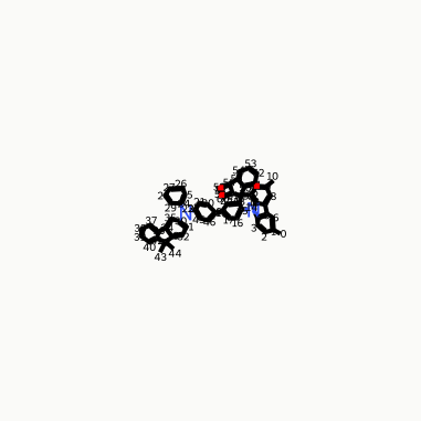 Cc1ccc2c(c1)c1cc(C)cc3c1n2-c1ccc(-c2ccc(N(c4ccccc4)c4ccc5c(c4)-c4ccccc4C5(C)C)cc2)cc1C31c2ccccc2-c2ccccc21